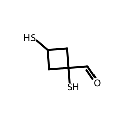 O=CC1(S)CC(S)C1